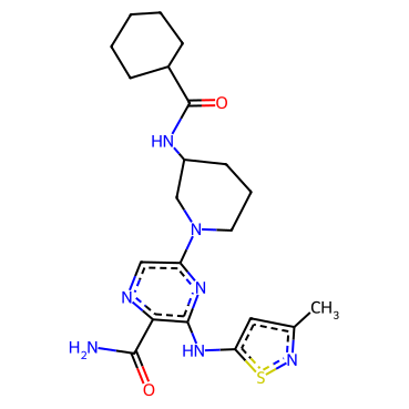 Cc1cc(Nc2nc(N3CCCC(NC(=O)C4CCCCC4)C3)cnc2C(N)=O)sn1